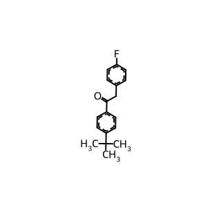 CC(C)(C)c1ccc(C(=O)Cc2ccc(F)cc2)cc1